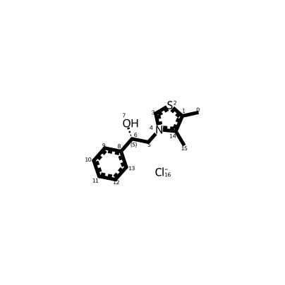 Cc1sc[n+](C[C@@H](O)c2ccccc2)c1C.[Cl-]